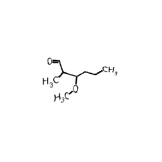 CCCC(OC)C(C)C=O